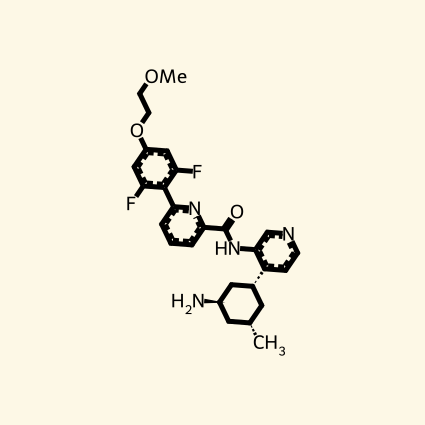 COCCOc1cc(F)c(-c2cccc(C(=O)Nc3cnccc3[C@@H]3C[C@H](C)C[C@@H](N)C3)n2)c(F)c1